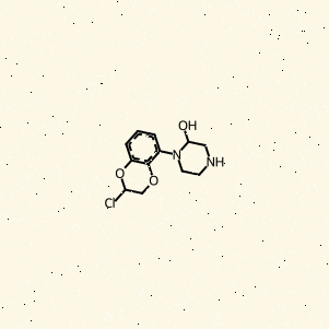 OC1CNCCN1c1cccc2c1OCC(Cl)O2